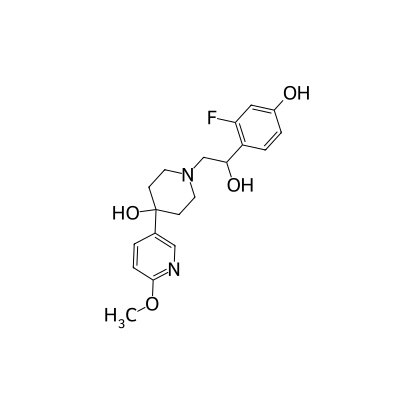 COc1ccc(C2(O)CCN(CC(O)c3ccc(O)cc3F)CC2)cn1